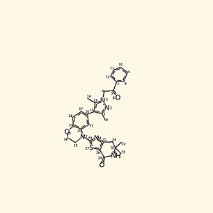 Cc1nn(CC(=O)c2ccccc2)c(C)c1-c1ccc2c(c1)N(c1nc3c(s1)C(=O)NC(C)(C)C3)CCO2